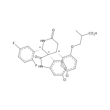 CC(COc1ccc(Cl)cc1[C@H]1CC(=O)N[C@@H](c2cc(F)ccc2F)[C@]12C(=O)Nc1cc(Cl)ccc12)C(=O)O